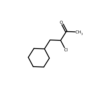 CC(=O)C(Cl)CC1CCCCC1